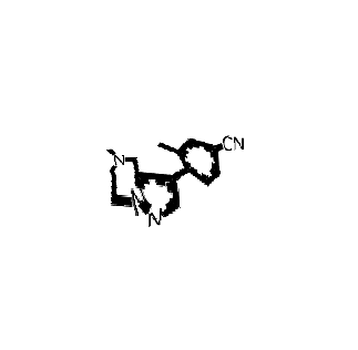 Cc1cc(C#N)ccc1-c1cnn2c1CN(C)CC2